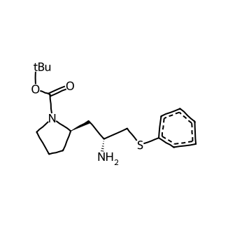 CC(C)(C)OC(=O)N1CCC[C@@H]1C[C@@H](N)CSc1ccccc1